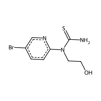 NC(=S)N(CCO)c1ccc(Br)cn1